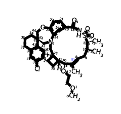 COCCO[C@H]1/C(C)=C/C[C@H](C)[C@@H](C)S(=O)(=O)NC(=O)c2ccc3c(c2)N(C[C@@H]2CC[C@H]21)C[C@@]1(CCCc2cc(Cl)ccc21)CO3